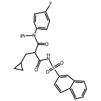 CC(C)N(C(=O)C(CC1CC1)C(=O)NS(=O)(=O)c1ccc2ccccc2c1)c1ccc(F)cc1